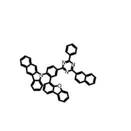 c1ccc(-c2nc(-c3ccc(-n4c5ccccc5c5cc6ccccc6cc54)c(-c4cccc5c4oc4ccccc45)c3)nc(-c3ccc4ccccc4c3)n2)cc1